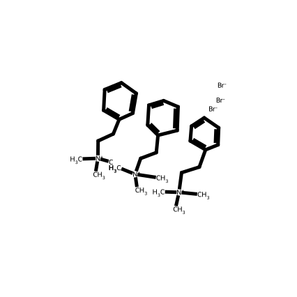 C[N+](C)(C)CCc1ccccc1.C[N+](C)(C)CCc1ccccc1.C[N+](C)(C)CCc1ccccc1.[Br-].[Br-].[Br-]